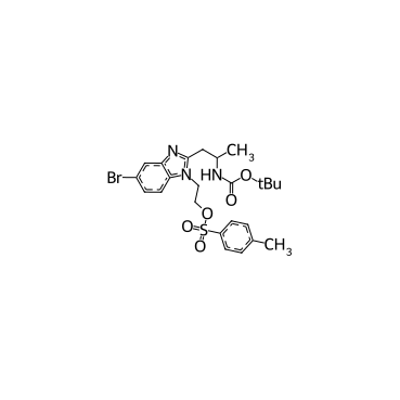 Cc1ccc(S(=O)(=O)OCCn2c(CC(C)NC(=O)OC(C)(C)C)nc3cc(Br)ccc32)cc1